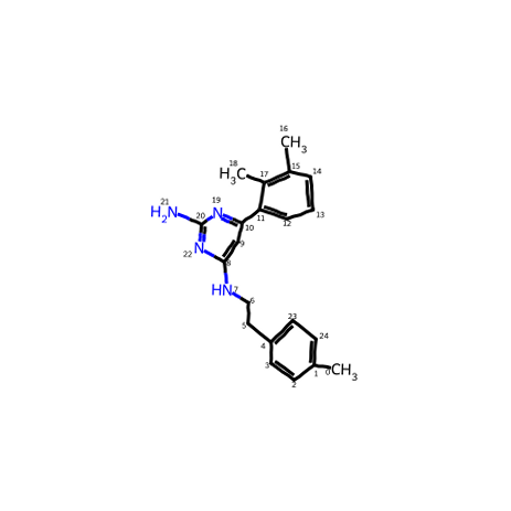 Cc1ccc(CCNc2cc(-c3cccc(C)c3C)nc(N)n2)cc1